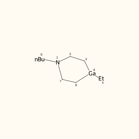 CCCCN1C[CH2][Ga]([CH2]C)[CH2]C1